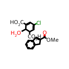 CC1C(C(=O)O)=CC(Cl)=CC1C(=O)O.COC(=O)C1=Cc2ccccc2C1.O